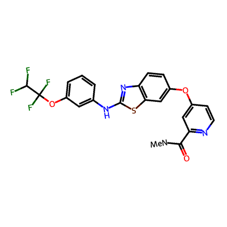 CNC(=O)c1cc(Oc2ccc3nc(Nc4cccc(OC(F)(F)C(F)F)c4)sc3c2)ccn1